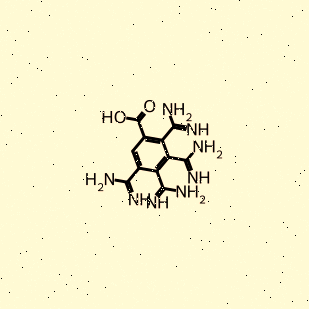 N=C(N)c1cc(C(=O)O)c(C(=N)N)c(C(=N)N)c1C(=N)N